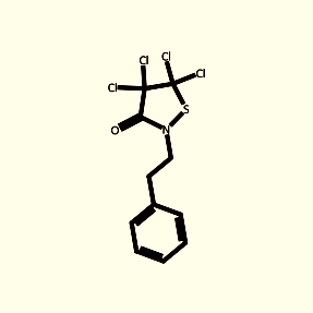 O=C1N(CCc2ccccc2)SC(Cl)(Cl)C1(Cl)Cl